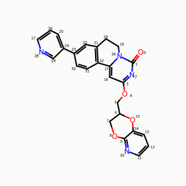 O=c1nc(OCC2COc3ncccc3O2)cc2n1CCc1cc(-c3cccnc3)ccc1-2